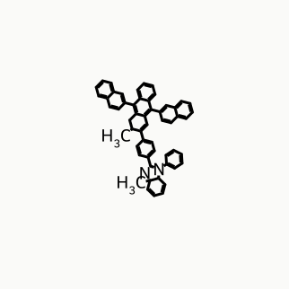 CC1Cc2c(c(-c3ccc4ccccc4c3)c3ccccc3c2-c2ccc3ccccc3c2)C=C1c1ccc(C2=NC3(C)C=CC=CC3N2c2ccccc2)cc1